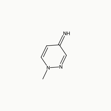 Cn1ccc(=N)cn1